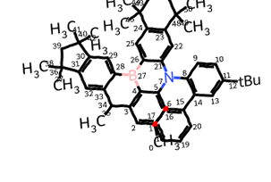 Cc1cc2c3c(c1)N(c1ccc(C(C)(C)C)cc1-c1ccccc1)c1cc4c(cc1B3c1cc3c(cc1C2C)C(C)(C)CC3(C)C)C(C)(C)CCC4(C)C